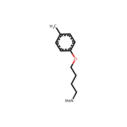 CNCCCCOc1ccc(C)cc1